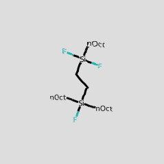 CCCCCCCC[Si](F)(F)CC[Si](F)(CCCCCCCC)CCCCCCCC